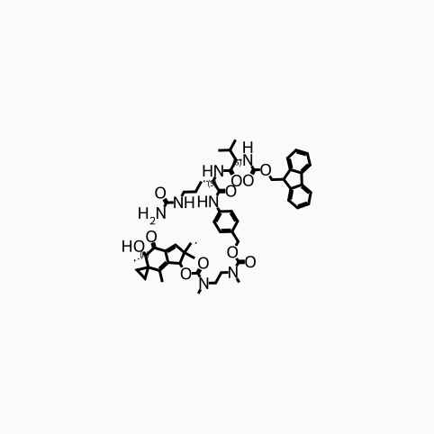 [CH2]C1(C)C=C2C(=O)[C@](C)(O)C3(CC3)C(C)=C2C1OC(=O)N(C)CCN(C)C(=O)OCc1ccc(NC(=O)[C@H](CCCNC(N)=O)NC(=O)[C@@H](NC(=O)OCC2c3ccccc3-c3ccccc32)C(C)C)cc1